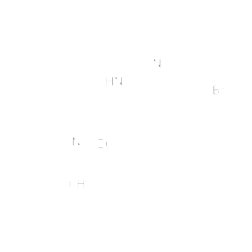 CC[n+]1c(C)cccc1/C=C/Nc1ccc(Br)cn1.[I-]